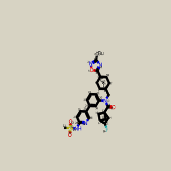 CC(C)(C)c1noc(C23CCC(CN(C(=O)C45CC(F)C(C4)C5)c4cccc(-c5ccc(NS(C)(=O)=O)nc5)c4)(CC2)CC3)n1